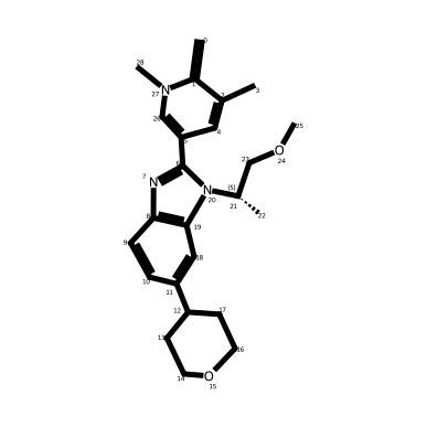 C=C1C(C)=CC(c2nc3ccc(C4CCOCC4)cc3n2[C@@H](C)COC)=CN1C